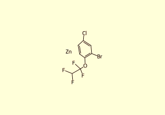 FC(F)C(F)(F)Oc1ccc(Cl)cc1Br.[Zn]